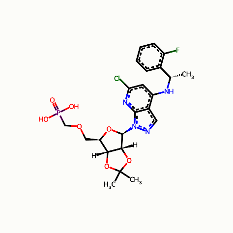 C[C@H](Nc1cc(Cl)nc2c1cnn2[C@@H]1O[C@H](COCP(=O)(O)O)[C@H]2OC(C)(C)O[C@H]21)c1ccccc1F